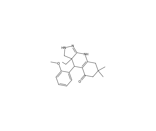 CCC12CNN=C1NC1=C(C(=O)CC(C)(C)C1)C2c1ccccc1OC